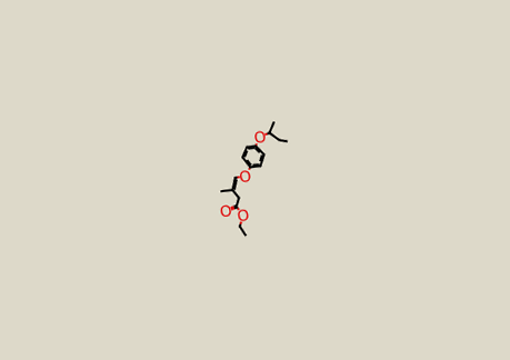 CCOC(=O)CC(C)=COc1ccc(OC(C)CC)cc1